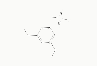 CCc1ccc[n+](CC)c1.CS(=O)(=O)O